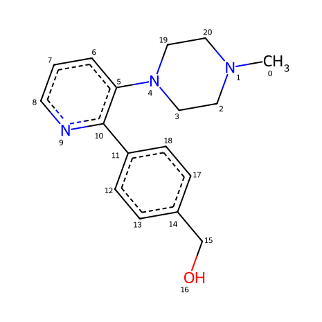 CN1CCN(c2cccnc2-c2ccc(CO)cc2)CC1